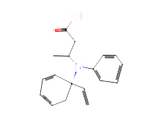 C=C[C@@]1(N(c2ccccc2)C(C)CC(=O)O)C=CC=CC1